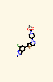 Cn1cc2cc(-c3cc4c(cnn4C4CCN(C(=O)OC(C)(C)C)CC4)s3)cc(F)c2n1